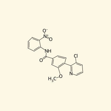 COc1cc(C(=O)Nc2ccccc2[N+](=O)[O-])ccc1-c1ncccc1Cl